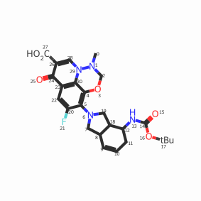 CN1COc2c(N3CC4C=CCC(NC(=O)OC(C)(C)C)C4C3)c(F)cc3c(=O)c(C(=O)O)cn1c23